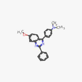 COc1ccc2c(-c3ccc(N(C)C)cc3)nc(-c3ccccc3)nc2c1